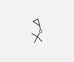 CC(C)(C)OC1CC1